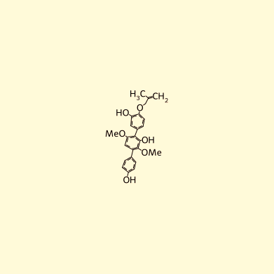 C=C(C)COc1ccc(-c2c(OC)cc(-c3ccc(O)cc3)c(OC)c2O)cc1O